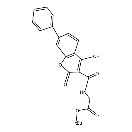 CC(C)(C)OC(=O)CNC(=O)c1c(O)c2ccc(-c3ccccc3)cc2oc1=O